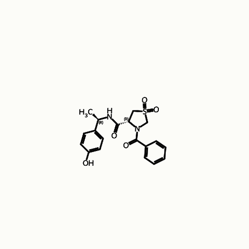 C[C@@H](NC(=O)[C@@H]1CS(=O)(=O)CN1C(=O)c1ccccc1)c1ccc(O)cc1